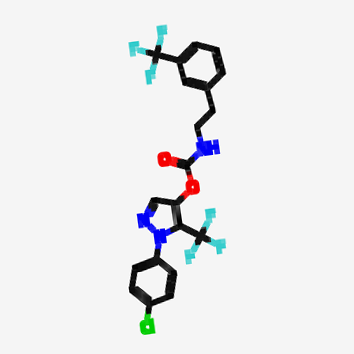 O=C(NCCc1cccc(C(F)(F)F)c1)Oc1cnn(-c2ccc(Cl)cc2)c1C(F)(F)F